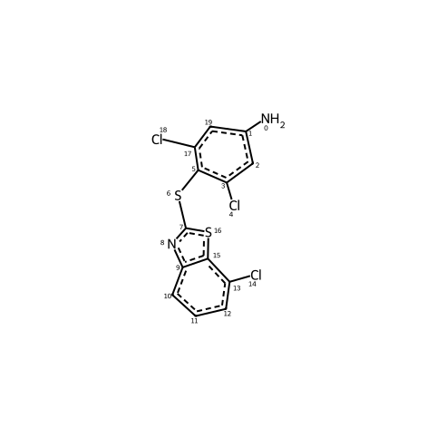 Nc1cc(Cl)c(Sc2nc3cccc(Cl)c3s2)c(Cl)c1